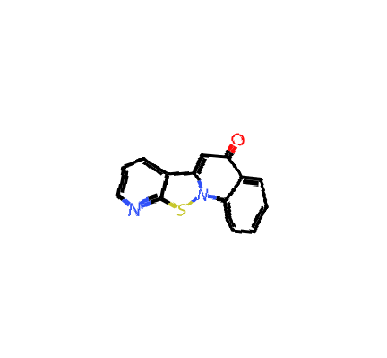 O=c1cc2c3cccnc3sn2c2ccccc12